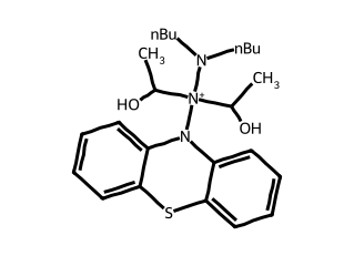 CCCCN(CCCC)[N+](C(C)O)(C(C)O)N1c2ccccc2Sc2ccccc21